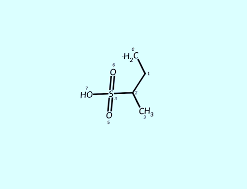 [CH2]CC(C)S(=O)(=O)O